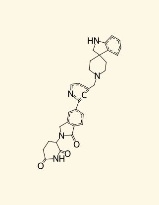 O=C1CCC(N2Cc3cc(-c4cc(CN5CCC6(CC5)CNc5ccccc56)ccn4)ccc3C2=O)C(=O)N1